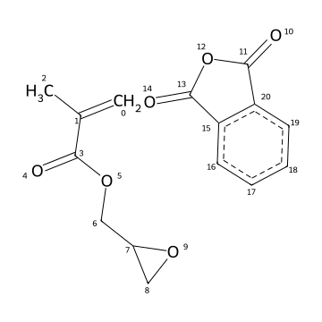 C=C(C)C(=O)OCC1CO1.O=C1OC(=O)c2ccccc21